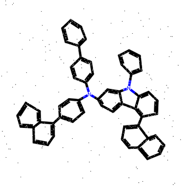 c1ccc(-c2ccc(N(c3ccc(-c4cccc5ccccc45)cc3)c3ccc4c5c(-c6cccc7ccccc67)cccc5n(-c5ccccc5)c4c3)cc2)cc1